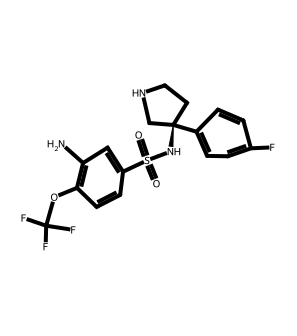 Nc1cc(S(=O)(=O)N[C@]2(c3ccc(F)cc3)CCNC2)ccc1OC(F)(F)F